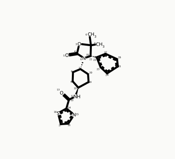 CC1(C)OC(=O)N([C@H]2CC[C@H](NC(=O)c3nccs3)CC2)[C@H]1c1ccccc1